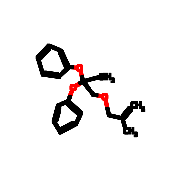 C=C(C)COCC([SiH3])(Oc1ccccc1)Oc1ccccc1